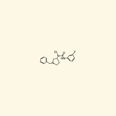 CCN(C(=O)Nc1cccc(F)c1)C1CCN(Cc2ccccc2)C1